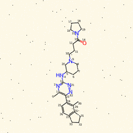 Cc1nc(NC2CCCN(CCCC(=O)N3CCCC3)C2)nnc1-c1ccc2c(c1C)CCC2